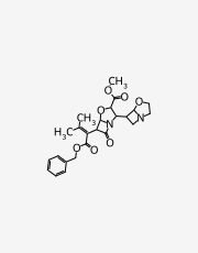 COC(=O)C1OC2C(C(C(=O)OCc3ccccc3)=C(C)C)C(=O)N2C1C1CN2CCOC12